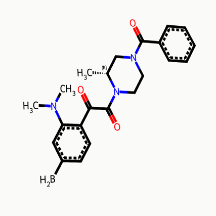 Bc1ccc(C(=O)C(=O)N2CCN(C(=O)c3ccccc3)C[C@H]2C)c(N(C)C)c1